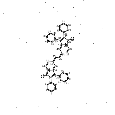 O=C1C(c2ccccc2)=C(c2ccccc2)C2=CC(=CC=C3C=CN4C(=O)C(c5ccccc5)=C(c5ccccc5)C4=C3)C=CN12